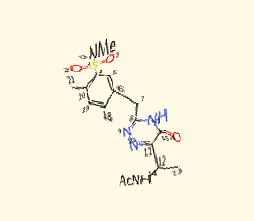 CNS(=O)(=O)c1cc(Cc2nnc(C(C)NC(C)=O)c(=O)[nH]2)ccc1C